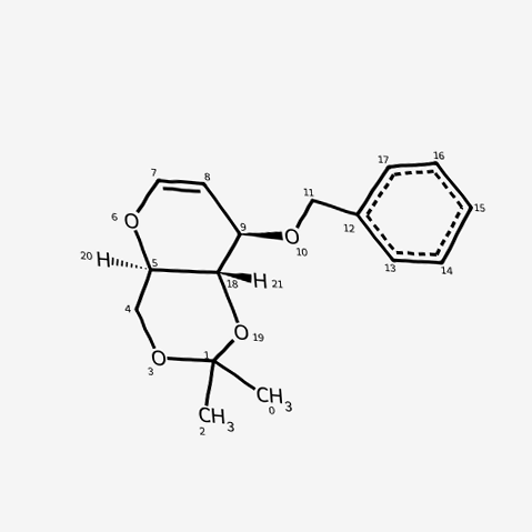 CC1(C)OC[C@H]2OC=C[C@@H](OCc3ccccc3)[C@@H]2O1